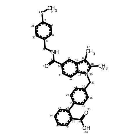 CSc1ccc(CNC(=O)c2ccc3c(c2)c(C)c(C)n3Cc2ccc(-c3ccccc3C(=O)O)cc2)cc1